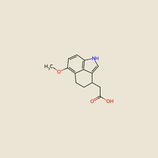 COc1ccc2[nH]cc3c2c1CCC3CC(=O)O